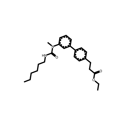 CCCCCCNC(=O)N(C)c1cccc(-c2ccc(CCC(=O)OCC)cc2)c1